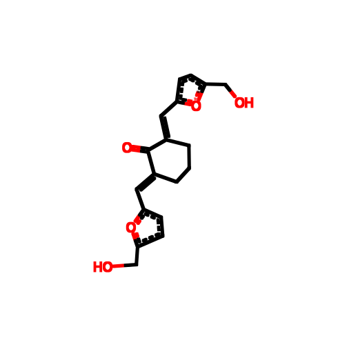 O=C1/C(=C/c2ccc(CO)o2)CCC/C1=C\c1ccc(CO)o1